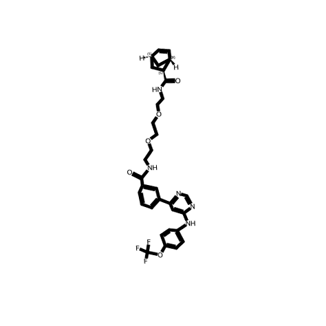 O=C(NCCOCCOCCNC(=O)[C@H]1C[C@H]2C=C[C@H]1C2)c1cccc(-c2cc(Nc3ccc(OC(F)(F)F)cc3)ncn2)c1